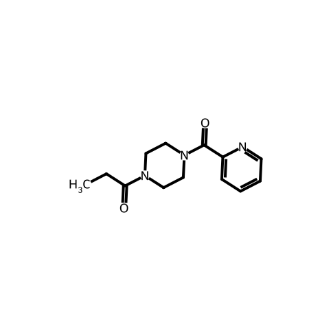 CCC(=O)N1CCN(C(=O)c2ccccn2)CC1